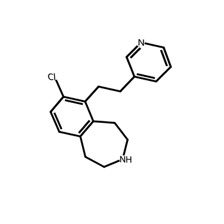 Clc1ccc2c(c1CCc1cccnc1)CCNCC2